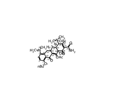 CCCCOc1ccc(N(C)C)c2c1C(=O)C1=C(OC(C)=O)[C@]3(O)C(=O)C(C(N)=O)=C(OC(C)=O)C(N(C)C)[C@@H]3C[C@@H]1C2